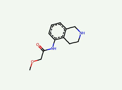 COCC(=O)Nc1cccc2c1CCNC2